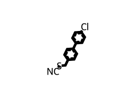 N#CSCc1ccc(-c2ccc(Cl)cc2)cc1